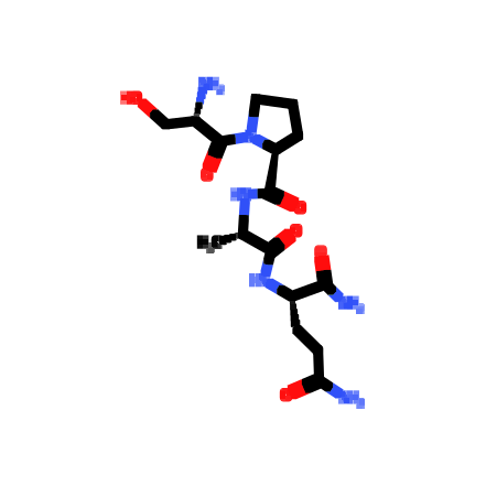 C[C@H](NC(=O)[C@@H]1CCCN1C(=O)[C@@H](N)CO)C(=O)N[C@@H](CCC(N)=O)C(N)=O